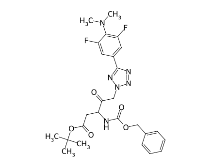 CN(C)c1c(F)cc(-c2nnn(CC(=O)C(CC(=O)OC(C)(C)C)NC(=O)OCc3ccccc3)n2)cc1F